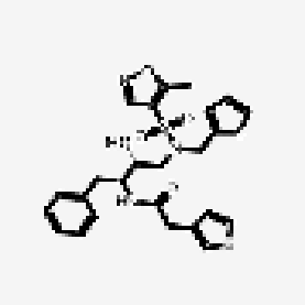 Cc1oncc1S(=O)(=O)N(Cc1cccs1)C[C@@H](O)[C@H](Cc1ccccc1)NC(=O)Cc1ccsc1